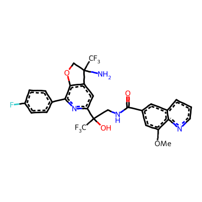 COc1cc(C(=O)NCC(O)(c2cc3c(c(-c4ccc(F)cc4)n2)OCC3(N)C(F)(F)F)C(F)(F)F)cc2cccnc12